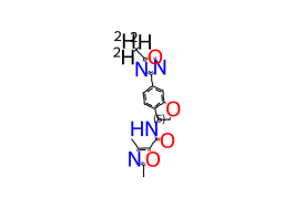 [2H]C([2H])([2H])c1nc(-c2ccc3c(c2)OC[C@H]3NC(=O)c2oc(C)nc2C)no1